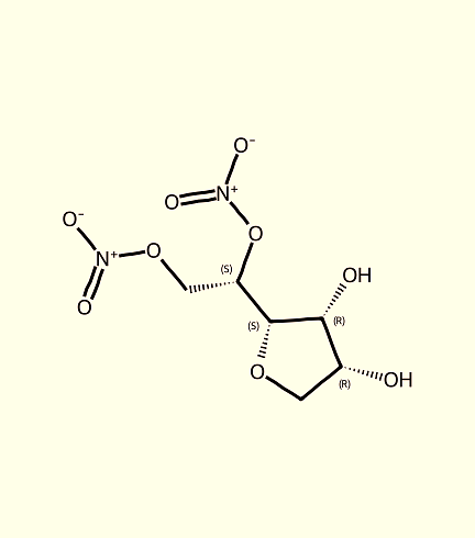 O=[N+]([O-])OC[C@H](O[N+](=O)[O-])[C@H]1OC[C@@H](O)[C@H]1O